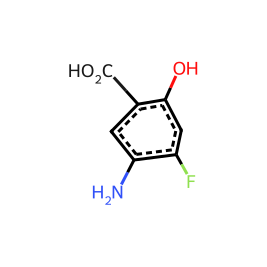 Nc1cc(C(=O)O)c(O)cc1F